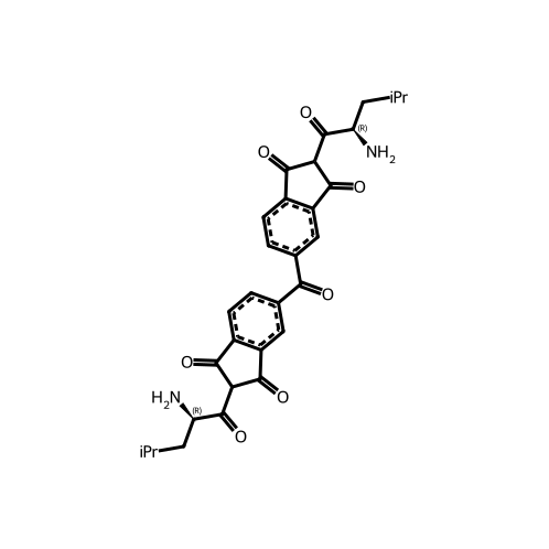 CC(C)C[C@@H](N)C(=O)C1C(=O)c2ccc(C(=O)c3ccc4c(c3)C(=O)C(C(=O)[C@H](N)CC(C)C)C4=O)cc2C1=O